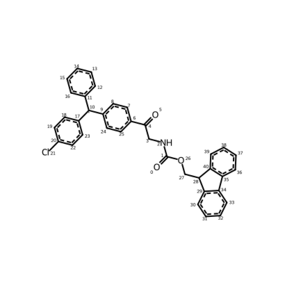 O=C(NCC(=O)c1ccc([C](c2ccccc2)c2ccc(Cl)cc2)cc1)OCC1c2ccccc2-c2ccccc21